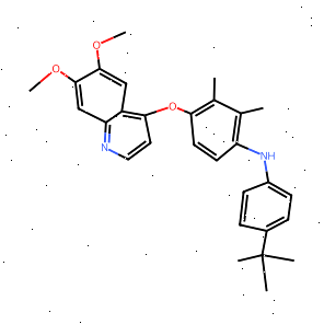 COc1cc2nccc(Oc3ccc(Nc4ccc(C(C)(C)C)cc4)c(C)c3C)c2cc1OC